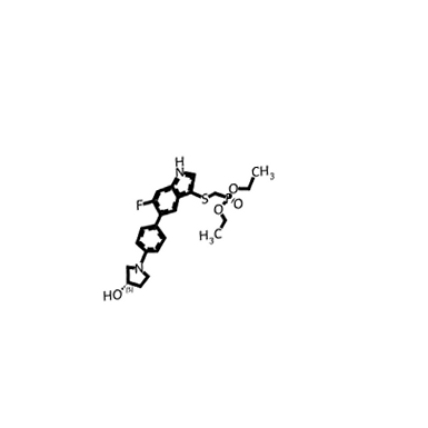 CCOP(=O)(CSc1c[nH]c2cc(F)c(-c3ccc(N4CC[C@H](O)C4)cc3)cc12)OCC